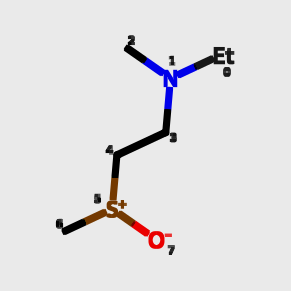 CCN(C)CC[S+](C)[O-]